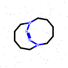 C1CCN2CCCCCN(CC1)/N=N\2